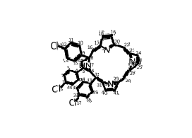 Clc1ccc(C2=C3NC(c4ccc(Cl)cc4)(C=C4C=CC(=N4)C=c4ccc([nH]4)=CC4=NC(=C3c3ccc(Cl)cc3)C=C4)C2)cc1